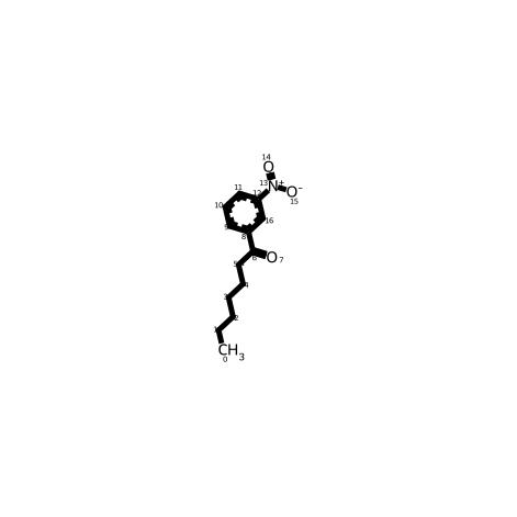 CCCCC[CH]C(=O)c1cccc([N+](=O)[O-])c1